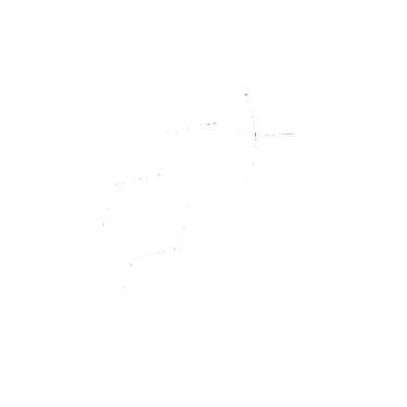 O=C(O)C1CCC(OC2CC2(F)F)CC1